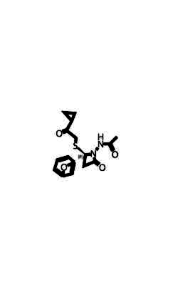 CC(=O)NN1C(=O)C[C@H]1SCC(=O)C1CC1.c1cc2cc(c1)O2